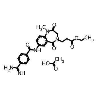 CC(=O)O.CCOC(=O)CCN1CC(=O)N(C)c2ccc(NC(=O)c3ccc(C(=N)N)cc3)cc2C1=O